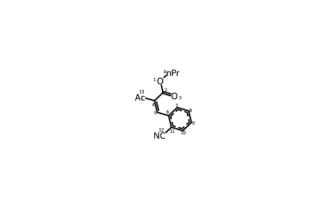 CCCOC(=O)/C(=C\c1ccccc1C#N)C(C)=O